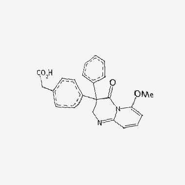 COC1=CC=CC2=NCC(c3ccccc3)(c3ccc(CC(=O)O)cc3)C(=O)N12